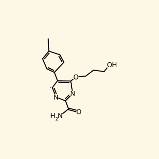 Cc1ccc(-c2[c]nc(C(N)=O)nc2OCCCO)cc1